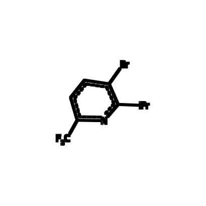 CC(C)c1nc(C(F)(F)F)ccc1Br